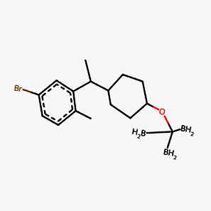 BC(B)(B)OC1CCC(C(C)c2cc(Br)ccc2C)CC1